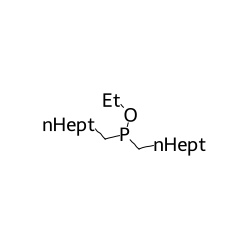 CCCCCCCCP(CCCCCCCC)OCC